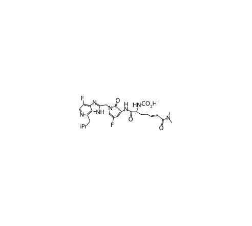 CC(C)Cc1ncc(F)c2nc(Cn3cc(F)cc(NC(=O)C(CCC=CC(=O)N(C)C)NC(=O)O)c3=O)[nH]c12